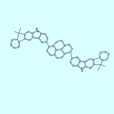 CC1(C)c2ccccc2-c2cc3c(cc21)sc1ccc(-c2ccc4ccc5c(-c6ccc7sc8cc9c(cc8c7c6)-c6ccccc6C9(C)C)ccc6ccc2c4c65)cc13